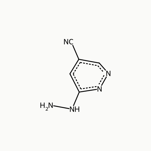 N#Cc1cnnc(NN)c1